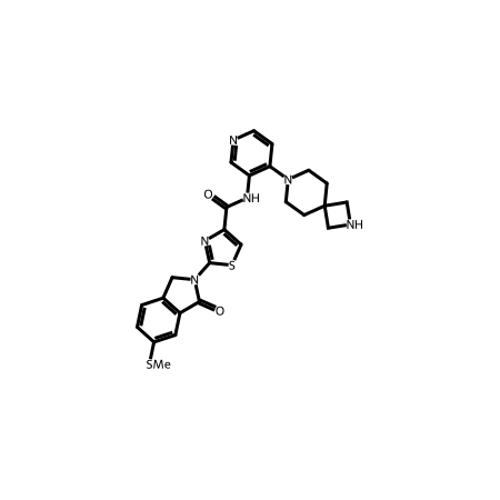 CSc1ccc2c(c1)C(=O)N(c1nc(C(=O)Nc3cnccc3N3CCC4(CC3)CNC4)cs1)C2